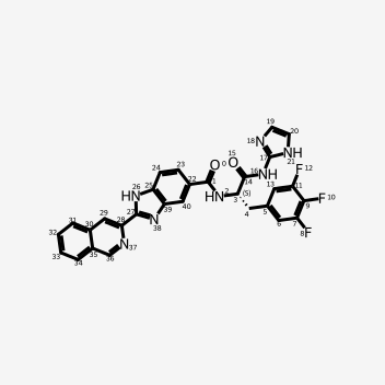 O=C(N[C@@H](Cc1cc(F)c(F)c(F)c1)C(=O)Nc1ncc[nH]1)c1ccc2[nH]c(-c3cc4ccccc4cn3)nc2c1